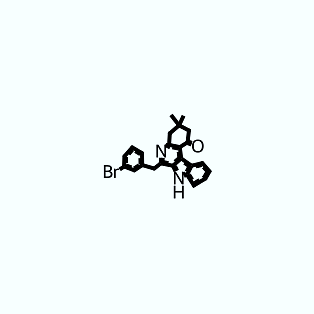 CC1(C)CC(=O)c2c(nc(Cc3cccc(Br)c3)c3[nH]c4ccccc4c23)C1